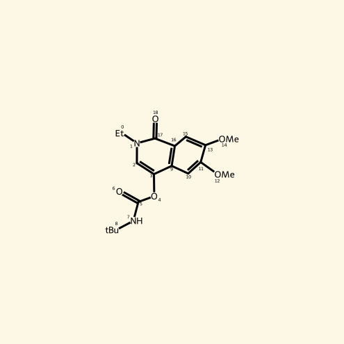 CCn1cc(OC(=O)NC(C)(C)C)c2cc(OC)c(OC)cc2c1=O